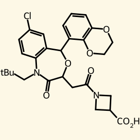 CC(C)(C)CN1C(=O)C(CC(=O)N2CC(C(=O)O)C2)OC(c2cccc3c2OCCO3)c2cc(Cl)ccc21